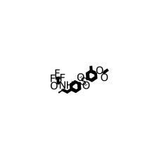 CC(=O)Oc1ccc(S(=O)(=O)c2ccc(C[C@@H](C)NC(=O)C(F)(F)F)cc2)cc1C